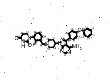 Nc1ncnc2c1c(-c1ccc(Oc3ccccc3)cc1)nn2C1CCN(Cc2cccc(N3CCC(=O)NC3=O)c2F)CC1